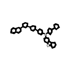 c1ccc(-c2ccc(N(c3ccc(-c4ccc(-c5cccc(-c6ccc7ccccc7c6)c5)cc4)cc3)c3ccc4oc5ccccc5c4c3)cc2)cc1